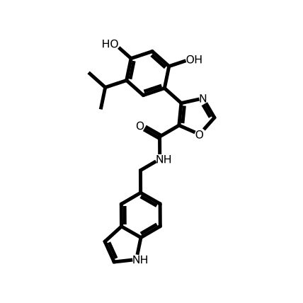 CC(C)c1cc(-c2ncoc2C(=O)NCc2ccc3[nH]ccc3c2)c(O)cc1O